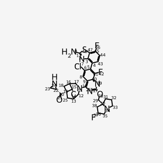 Nc1nc2c(-c3c(Cl)cc4c(N5CC6CC7C(C5)C[C@]7(C(=O)[C@@H]5CN5)C6)nc(OC[C@@]56CCCN5C[C@H](F)C6)nc4c3F)ccc(F)c2s1